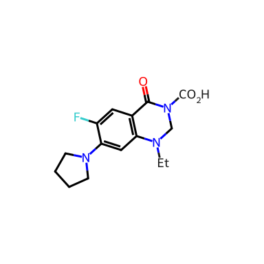 CCN1CN(C(=O)O)C(=O)c2cc(F)c(N3CCCC3)cc21